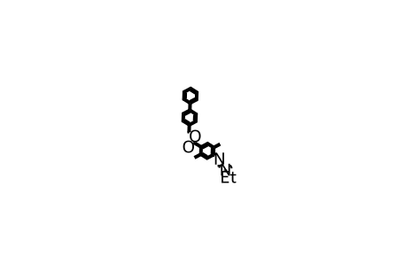 CCN(C)/C=N/c1cc(C)c(C(=O)OCc2ccc(-c3ccccc3)cc2)cc1C